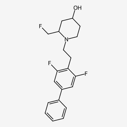 OC1CCN(CCc2c(F)cc(-c3ccccc3)cc2F)C(CF)C1